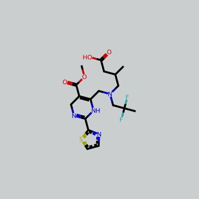 COC(=O)C1=C(CN(CC(C)CC(=O)O)CC(C)(F)F)NC(c2nccs2)=NC1